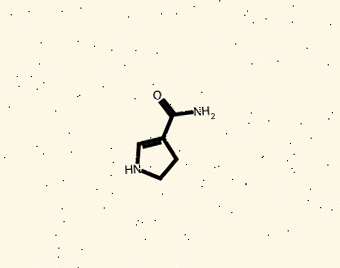 NC(=O)C1=CNCC1